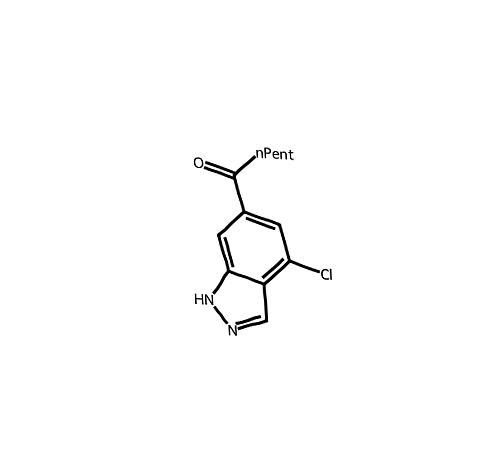 CCCCCC(=O)c1cc(Cl)c2cn[nH]c2c1